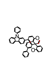 c1ccc(-c2cccc3c2Oc2ccccc2C32c3ccccc3Oc3ccc(-c4ccc5c6ccccc6n(-c6ccccc6)c5c4)cc32)cc1